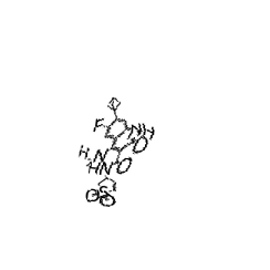 Nc1c(C(=O)N[C@@H]2C=CS(=O)(=O)C2)c(=O)[nH]c2cc(C34CC(C3)C4)c(F)cc12